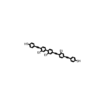 CCc1cc(C#Cc2ccc(S)cc2)ccc1C#Cc1ccc(-c2ccc(C#Cc3ccc(S)cc3)c(CC)c2)c(CC)c1